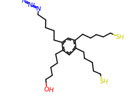 [N-]=[N+]=NCCCCCc1cc(CCCCCS)c(CCCCCS)cc1CCCCCO